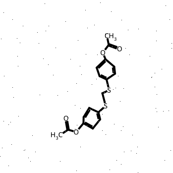 CC(=O)Oc1ccc(SCSc2ccc(OC(C)=O)cc2)cc1